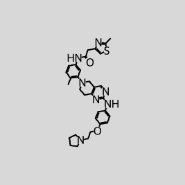 Cc1nc(CC(=O)Nc2ccc(C)c(N3CCc4nc(Nc5ccc(OCCN6CCCC6)cc5)ncc4C3)c2)cs1